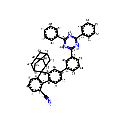 N#Cc1cccc2c1-c1ccc(-c3cccc(-c4nc(-c5ccccc5)nc(-c5ccccc5)n4)c3)cc1C21C2CC3CC(C2)CC1C3